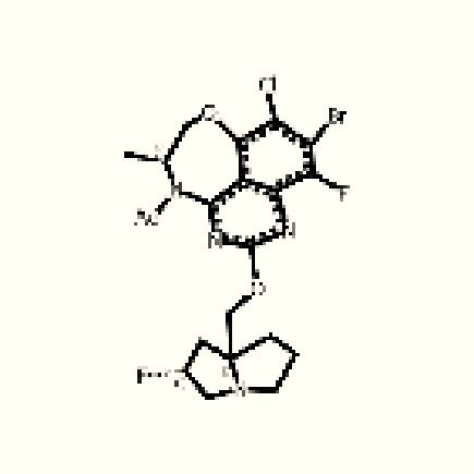 CC(=O)N1c2nc(OC[C@@]34CCCN3C[C@H](F)C4)nc3c(F)c(Br)c(Cl)c(c23)OC[C@@H]1C